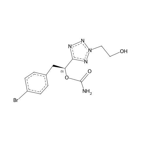 NC(=O)O[C@@H](Cc1ccc(Br)cc1)c1nnn(CCO)n1